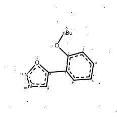 CCCCOc1ccccc1-c1[c]nno1